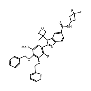 COc1cc(-c2nc3ccc(C(=O)NC4CC(F)(F)C4)cc3n2C2(C)COC2)c(F)c(OCc2ccccc2)c1OCc1ccccc1